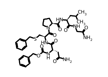 CC(C)C[C@H](NC(=O)[C@@H]1CCCN1C(=O)[C@H](CSCc1ccccc1)NC(=O)[C@H](CC(N)=O)NC(=O)OCc1ccccc1)C(=O)NCC(N)=O